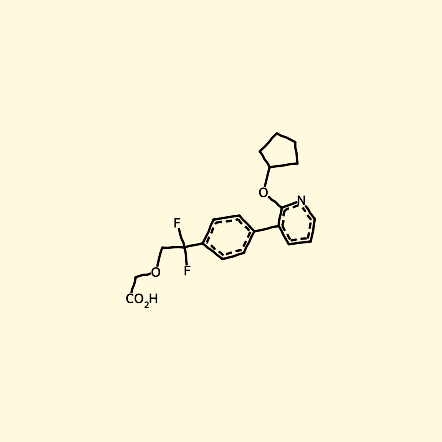 O=C(O)COCC(F)(F)c1ccc(-c2cccnc2OC2CCCC2)cc1